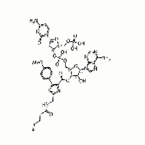 C=CCCC(=O)NCc1nc(C(=O)OC2[C@@H](COP(=O)(O)O[C@@H]3C[C@H](n4ccc(N)nc4=O)O[C@@H]3COP(=O)(O)O)O[C@@H](n3cnc4c(N)ncnc43)[C@H]2O)c(-c2ccc(OC)cc2)s1